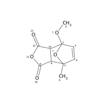 COC12C=CC(C)(O1)C1C(=O)OC(=O)C12